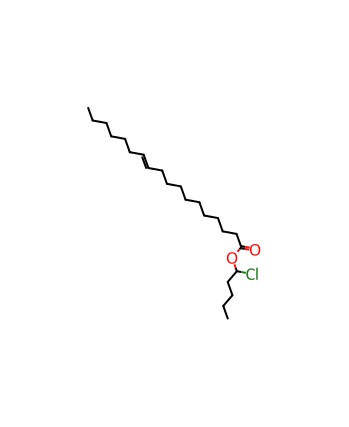 CCCCCC/C=C/CCCCCCCCCC(=O)OC(Cl)CCCC